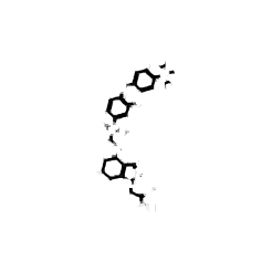 CS(=O)(=O)c1ccc(Oc2ccc(S(=O)(=O)CN[C@@H]3CCCc4c3cnn4CC(=O)O)cc2Cl)cc1